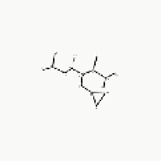 CC(C)C[C@H](C)N(CC1CC1)[C@@H](C)C(C)C